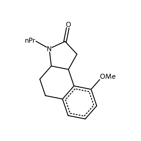 CCCN1C(=O)CC2c3c(cccc3OC)CCC21